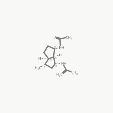 C=C(C)N[C@@H]1C[C@H](C)[C@H]2CC[C@H](NC(C)=O)[C@H]21